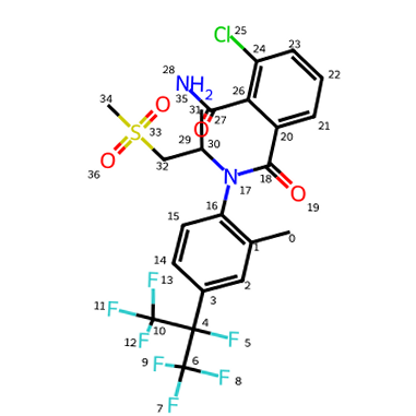 Cc1cc(C(F)(C(F)(F)F)C(F)(F)F)ccc1N(C(=O)c1cccc(Cl)c1C(N)=O)C(C)CS(C)(=O)=O